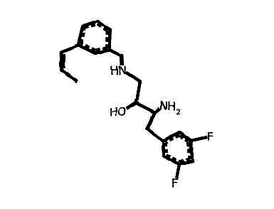 C/C=C\c1cccc(CNCC(O)C(N)Cc2cc(F)cc(F)c2)c1